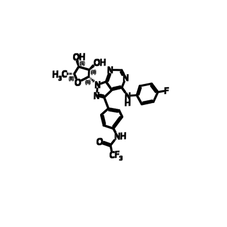 C[C@H]1O[C@@H](n2nc(-c3ccc(NC(=O)C(F)(F)F)cc3)c3c(Nc4ccc(F)cc4)ncnc32)[C@H](O)[C@@H]1O